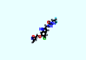 Cc1cc(COc2cc3[nH]c(CNC(=O)NCC(F)F)cc3cc2Cl)on1